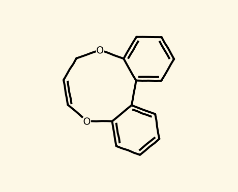 C1=COc2ccccc2-c2ccccc2OC1